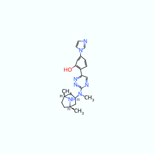 CN(c1ncc(-c2ccc(-n3ccnc3)cc2O)nn1)[C@H]1C[C@]2(C)CC[C@](C)(C1)N2